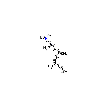 CCN(CC)C/C=C(\C)CCCC(C)CCCC(C)CCCC(C)C